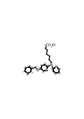 CCOC(=O)CCCCCCN(c1ccccn1)c1ccc(OCc2ccccc2)cn1